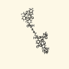 CCc1cccc(N(CC)C(=O)Cn2c(C(=O)N[C@H]3CC[C@H](C(=O)NCCCCCCCCNC(=O)c4ccc5c(c4)C4(OC5=O)c5ccc(NC(=O)C(F)(F)F)cc5Oc5cc(NC(=O)C(F)(F)F)ccc54)CC3)cc3ccccc32)c1